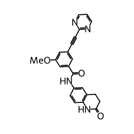 COc1cc(C#Cc2ncccn2)cc(C(=O)Nc2ccc3c(c2)CCC(=O)N3)c1